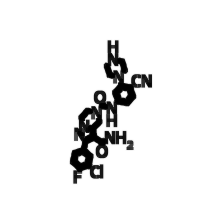 N#Cc1ccc(NC(=O)N2CCn3nc(-c4ccc(F)c(Cl)c4)c(C(N)=O)c3C2)cc1N1CCNCC1